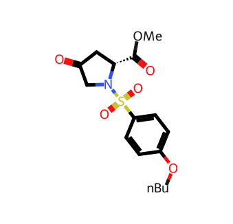 CCCCOc1ccc(S(=O)(=O)N2CC(=O)C[C@@H]2C(=O)OC)cc1